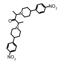 CC(C(=O)C(C)N1CCC(c2ccc([N+](=O)[O-])cc2)CC1)N1CCC(c2ccc([N+](=O)[O-])cc2)CC1